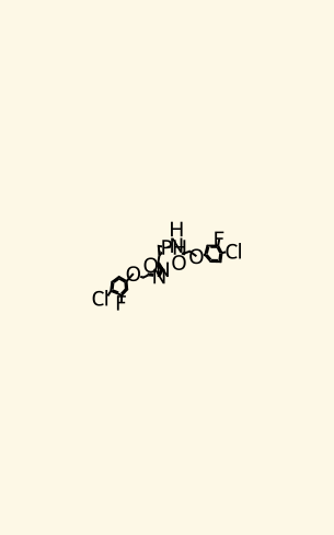 O=C(COc1ccc(Cl)c(F)c1)N[PH]1=C(c2nnc(COc3ccc(Cl)c(F)c3)o2)C1